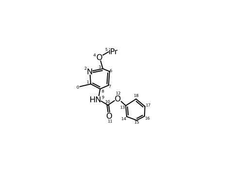 Cc1nc(OC(C)C)ccc1NC(=O)Oc1ccccc1